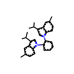 Cc1ccc2c(c1)c(C(C)C)cn2-c1ccccc1-n1cc(C(C)C)c2cc(C)ccc21